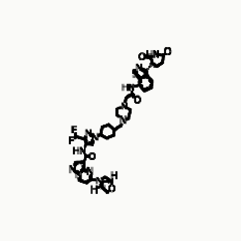 O=C1CC[C@H](c2nsc3c(NC(=O)CN4CCN(CC5CCC(n6cc(NC(=O)c7cnn8ccc(N9C[C@H]%10C[C@@H]9CO%10)nc78)c(C(F)F)n6)CC5)CC4)cccc23)C(=O)N1